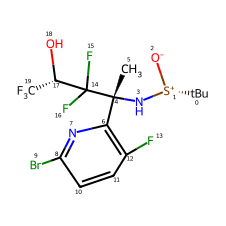 CC(C)(C)[S@@+]([O-])N[C@](C)(c1nc(Br)ccc1F)C(F)(F)[C@@H](O)C(F)(F)F